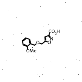 COc1ccccc1COCc1cc(C(=O)O)no1